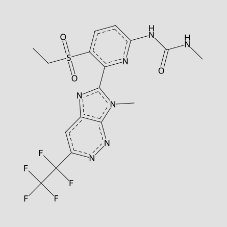 CCS(=O)(=O)c1ccc(NC(=O)NC)nc1-c1nc2cc(C(F)(F)C(F)(F)F)nnc2n1C